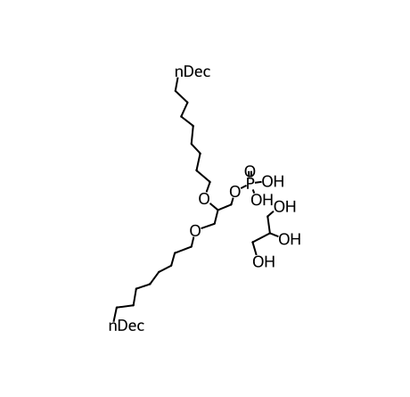 CCCCCCCCCCCCCCCCCCOCC(COP(=O)(O)O)OCCCCCCCCCCCCCCCCCC.OCC(O)CO